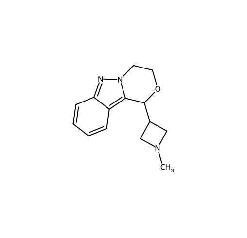 CN1CC(C2OCCn3nc4ccccc4c32)C1